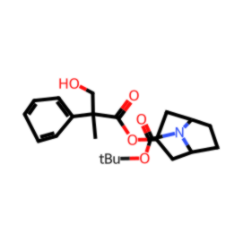 CC(C)(C)OC(=O)N1C2CCC1CC(OC(=O)C(C)(CO)c1ccccc1)C2